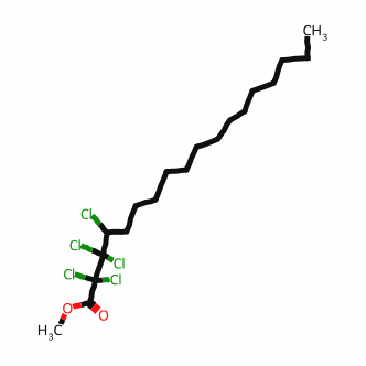 CCCCCCCCCCCCCCC(Cl)C(Cl)(Cl)C(Cl)(Cl)C(=O)OC